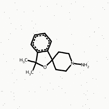 CC1(C)OC2(CCN(N)CC2)c2ccccc21